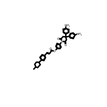 CC1CCC(c2ccc(/C=C/C(=O)Oc3ccc(N4C(=O)CC(c5ccc(N)cc5)(c5ccc(N)cc5)CC4=O)cc3)cc2)CC1